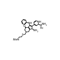 CNCCSCC1CC(=O)c2c(Nc3ccccc3)c(C3=CC(N(N)C(C)=O)NC=C3)n(N)c2C1